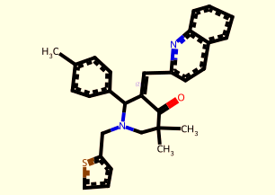 Cc1ccc(C2/C(=C/c3ccc4ccccc4n3)C(=O)C(C)(C)CN2Cc2cccs2)cc1